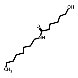 CCCCCCCCNC(=O)CCCCCO